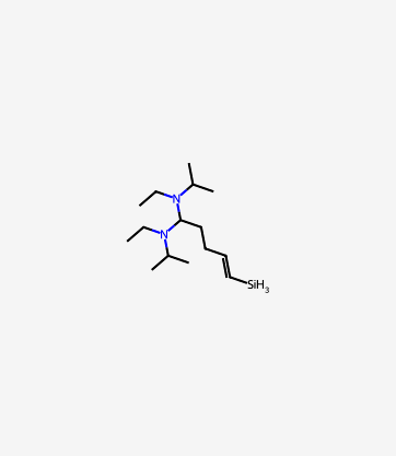 CCN(C(C)C)C(CCC=C[SiH3])N(CC)C(C)C